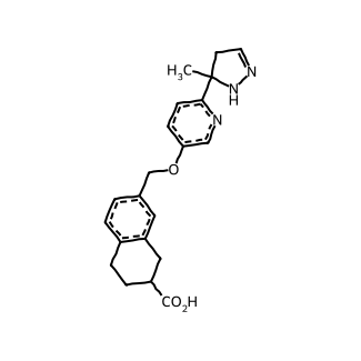 CC1(c2ccc(OCc3ccc4c(c3)CC(C(=O)O)CC4)cn2)CC=NN1